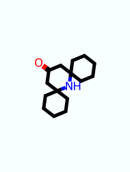 O=C1CC2(CCCCC2)NC2(CCCCC2)C1